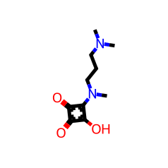 CN(C)CCCN(C)c1c(O)c(=O)c1=O